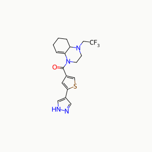 O=C(c1csc(-c2cn[nH]c2)c1)N1CCN(CC(F)(F)F)C2CCCC=C21